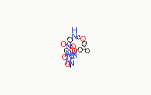 Cc1nc(-c2cnc(Oc3ccc(C4(c5ccc(O[C@H]6C[C@H](Nc7ccc8c(c7)C(=O)N(C7CCC(=O)NC7=O)C8=O)C6)cc5)CCCC4)cc3)cn2)no1